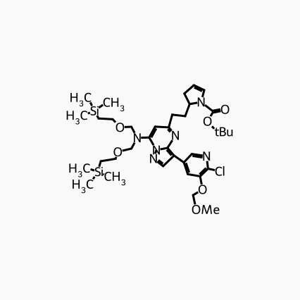 COCOc1cc(-c2cnn3c(N(COCC[Si](C)(C)C)COCC[Si](C)(C)C)cc(CCC4CC=CN4C(=O)OC(C)(C)C)nc23)cnc1Cl